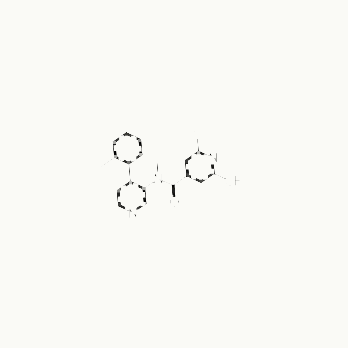 Cc1ccccc1-c1ccncc1N(C)C(=O)c1cc(C(F)(F)F)nc(C(F)(F)F)c1